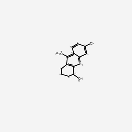 COc1c2c(nc3cc(Cl)ccc13)C(O)CCC2